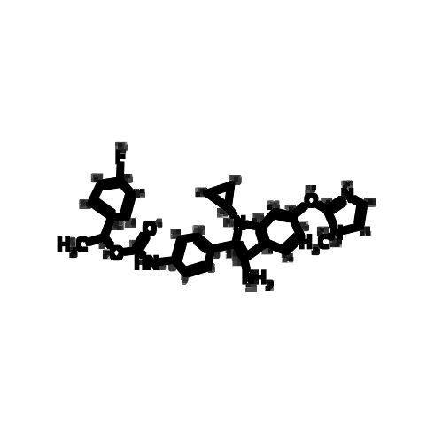 CC(OC(=O)Nc1ccc(-c2c(N)c3ccc(Oc4nccn4C)cc3n2C2CC2)cc1)c1ccc(F)cc1